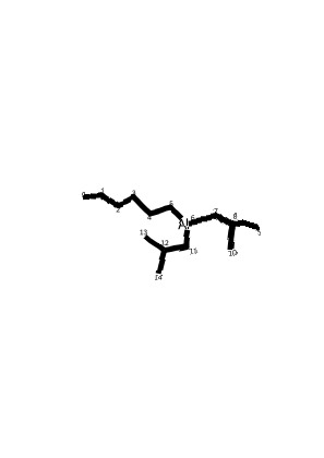 CCCCC[CH2][Al]([CH2]C(C)C)[CH2]C(C)C